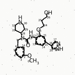 COc1cccc(CN(C(=O)Nc2ccc(-c3cn[nH]c3)cc2OCCCO)C2CCNCC2)c1